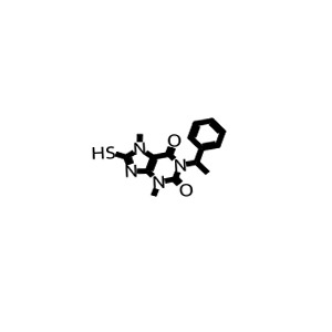 CC(c1ccccc1)n1c(=O)c2c(nc(S)n2C)n(C)c1=O